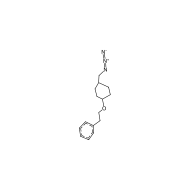 [N-]=[N+]=NCC1CCC(OCCc2ccccc2)CC1